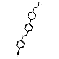 CCCC1CCC(c2ccc(CSc3ccc(C#N)cc3)cc2)CC1